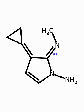 C/N=C1\C(=C2CC2)C=CN1N